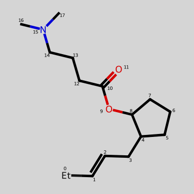 CCC=CCC1CCCC1OC(=O)CCCN(C)C